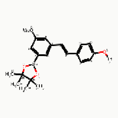 CCOc1ccc(/C=C/c2cc(OC)cc(B3OC(C)(C)C(C)(C)O3)c2)cc1